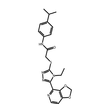 CCn1c(SCC(=O)Nc2ccc(C(C)C)cc2)nnc1-c1nccc2c1OCO2